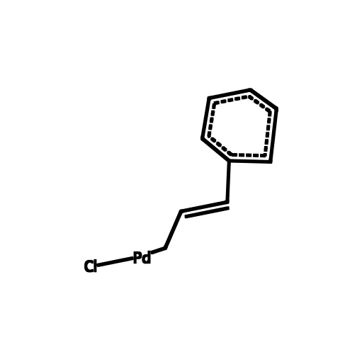 [Cl][Pd][CH2]C=Cc1ccccc1